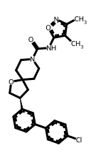 Cc1noc(NC(=O)N2CCC3(CC2)C[C@@H](c2cccc(-c4ccc(Cl)cc4)c2)CO3)c1C